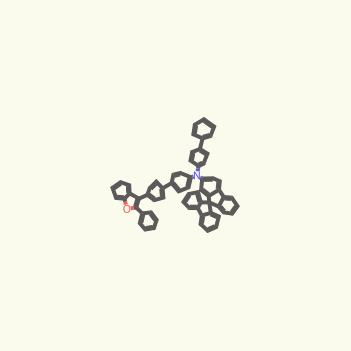 c1ccc(-c2ccc(N(c3ccc(-c4ccc(-c5c(-c6ccccc6)oc6ccccc56)cc4)cc3)c3ccc4c(c3)C3(c5ccccc5-c5ccccc53)c3ccccc3-4)cc2)cc1